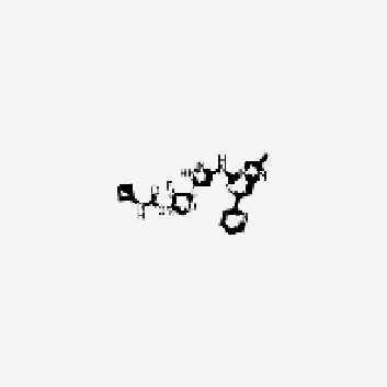 Cc1cn2c(Nc3cc([C@@H]4OC[C@H](OC(=O)NC56CC(C5)C6)[C@H]4F)[nH]n3)nc(-c3ccccn3)cc2n1